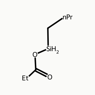 [CH2]CC(=O)O[SiH2]CCCC